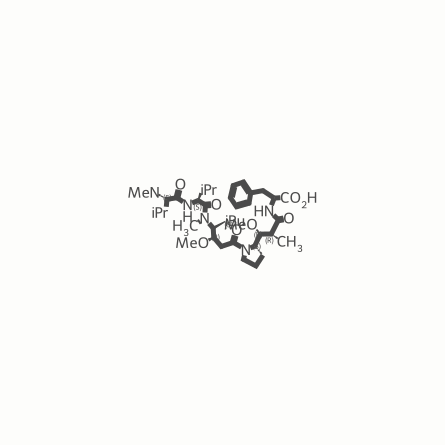 CC[C@H](C)C([C@@H](CC(=O)N1CCC[C@H]1[C@H](OC)[C@@H](C)C(=O)NC(Cc1ccccc1)C(=O)O)OC)N(C)C(=O)[C@@H](NC(=O)[C@@H](NC)C(C)C)C(C)C